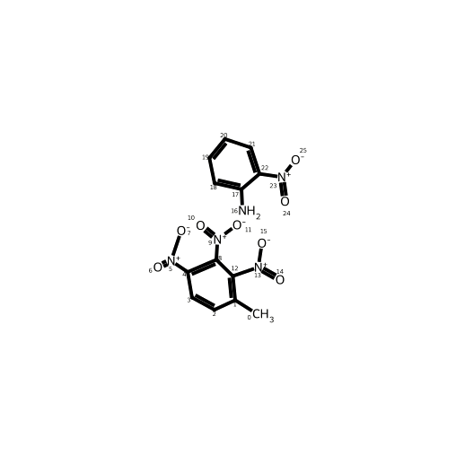 Cc1ccc([N+](=O)[O-])c([N+](=O)[O-])c1[N+](=O)[O-].Nc1ccccc1[N+](=O)[O-]